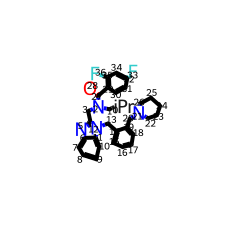 CC(C)CN(Cc1nc2ccccc2n1Cc1ccccc1CN1CCCCC1)C(=O)c1ccc(F)cc1F